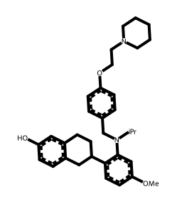 COc1ccc(C2CCc3cc(O)ccc3C2)c(N(Cc2ccc(OCCN3CCCCC3)cc2)C(C)C)c1